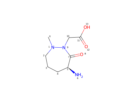 CN1CCC[C@H](N)C(=O)N1CC(=O)O